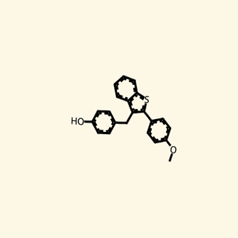 COc1ccc(-c2sc3ccccc3c2Cc2ccc(O)cc2)cc1